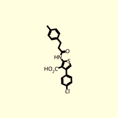 Cc1ccc(CCC(=O)Nc2scc(-c3ccc(Cl)cc3)c2C(=O)O)cc1